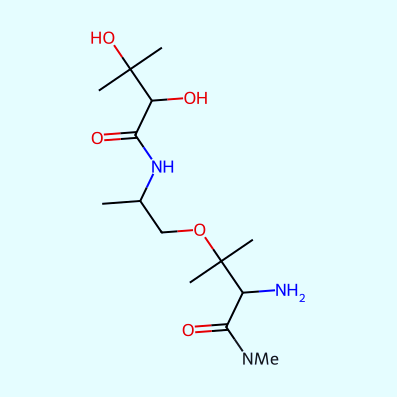 CNC(=O)C(N)C(C)(C)OCC(C)NC(=O)C(O)C(C)(C)O